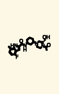 CC(=O)N1CCN([C@@H]2CCC[C@@H](NC(=O)c3cc4c(F)ccc(C)c4[nH]3)C2)C[C@@H]1CO